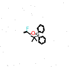 C=C(F)CO[Si](c1ccccc1)(c1ccccc1)C(C)(C)C